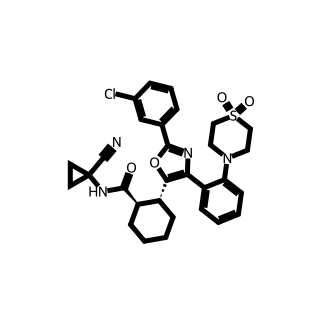 N#CC1(NC(=O)[C@@H]2CCCC[C@H]2c2oc(-c3cccc(Cl)c3)nc2-c2ccccc2N2CCS(=O)(=O)CC2)CC1